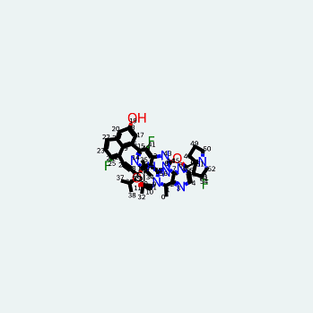 CC(c1nccnc1N)N1CCOc2nc(-c3cc(O)cc4ccc(F)c(C#C[Si](C(C)C)(C(C)C)C(C)C)c34)c(F)c3nc(OC[C@@]45CCCN4C[C@H](F)C5)nc1c23